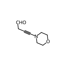 O=CCC#CN1CCOCC1